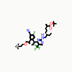 C=C(CCC[C@@H](CC)CNc1ncc(C(F)(F)F)c(/C(=C/C)c2cc(F)c(C#N)cc2C(=C)COCC[Si](C)(C)C)n1)C(=O)OC(C)(C)C